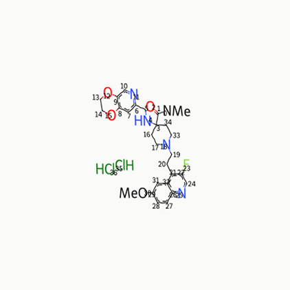 CNC(=O)C1(NCc2cc3c(cn2)OCCO3)CCN(CCc2c(F)cnc3ccc(OC)cc23)CC1.Cl.Cl